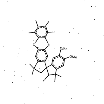 COc1cc2c(cc1OC)C1(CC(C)(C)c3cc4c(cc31)Oc1c(C)c(C)c(C)c(C)c1O4)C(C)C2(C)C